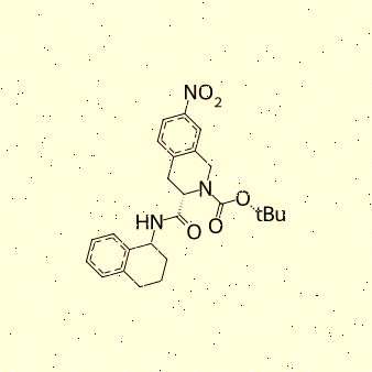 CC(C)(C)OC(=O)N1Cc2cc([N+](=O)[O-])ccc2C[C@H]1C(=O)NC1CCCc2ccccc21